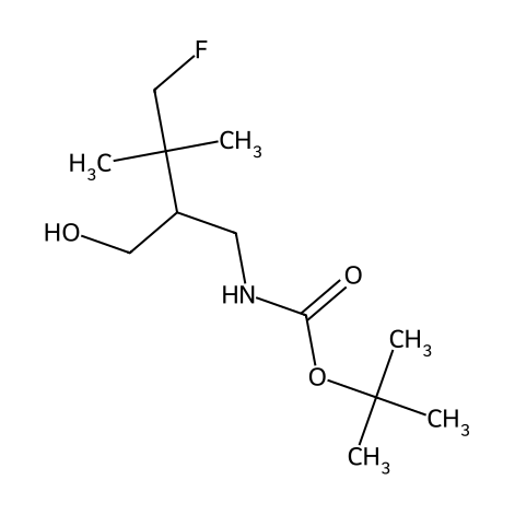 CC(C)(C)OC(=O)NCC(CO)C(C)(C)CF